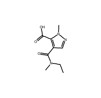 CCN(C)C(=O)c1cnn(C)c1C(=O)O